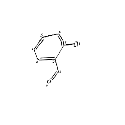 O=[C]c1ccccc1Cl